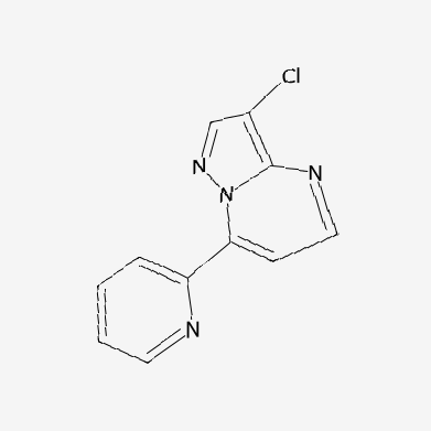 Clc1cnn2c(-c3ccccn3)ccnc12